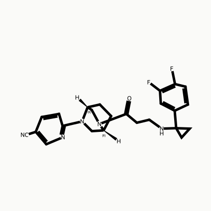 N#Cc1ccc(N2C[C@H]3CC[C@@H]2CN3C(=O)CCNC2(c3ccc(F)c(F)c3)CC2)nc1